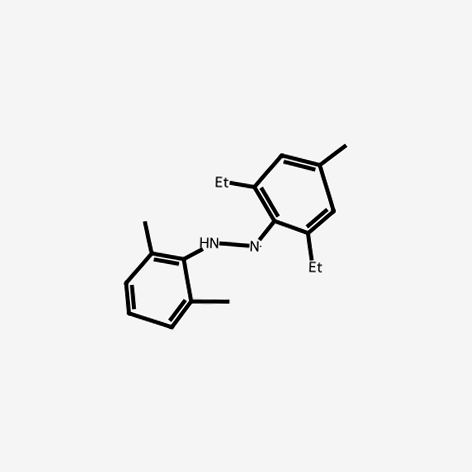 CCc1cc(C)cc(CC)c1[N]Nc1c(C)cccc1C